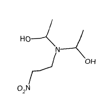 CC(O)N(CC[N+](=O)[O-])C(C)O